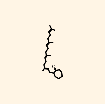 CC(C)=CCC/C(C)=C/CC/C(C)=C/CC/C(C)=C/CC1CCCCCC1=O